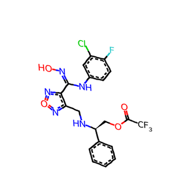 O=C(OC[C@H](NCc1nonc1C(=NO)Nc1ccc(F)c(Cl)c1)c1ccccc1)C(F)(F)F